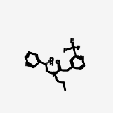 CCCN(C[C@@H](O)c1cccnc1)C(=O)Cc1ccnc(C(F)(F)F)c1